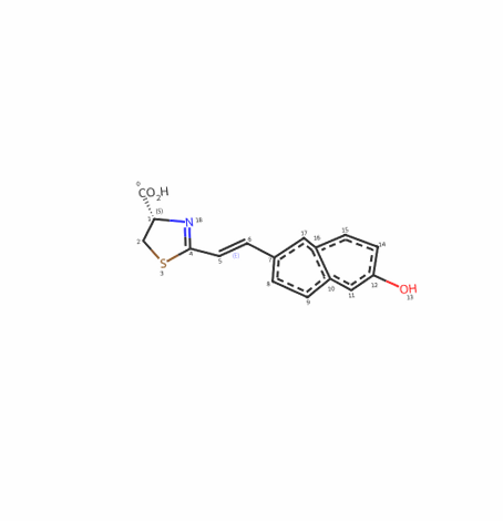 O=C(O)[C@H]1CSC(/C=C/c2ccc3cc(O)ccc3c2)=N1